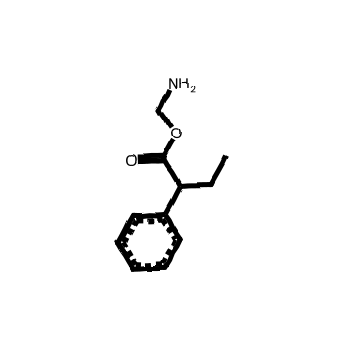 CCC(C(=O)OCN)c1ccccc1